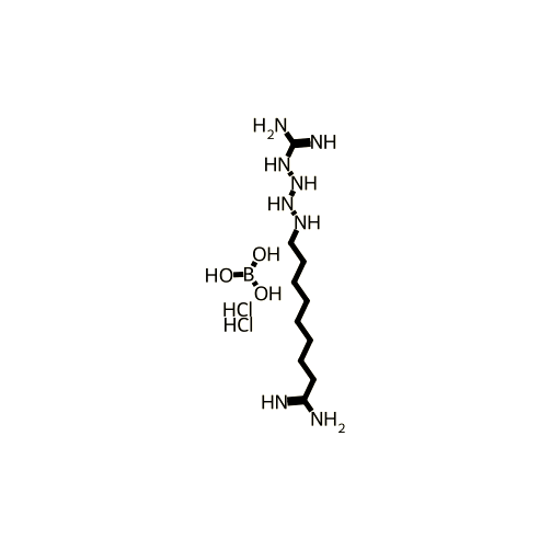 Cl.Cl.N=C(N)CCCCCCCCNNNNC(=N)N.OB(O)O